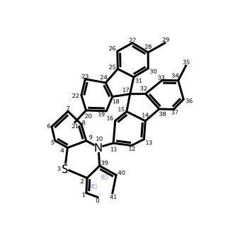 C/C=C1/Sc2ccccc2N(c2ccc3c(c2)C2(c4cc(C)ccc4-c4ccc(C)cc42)c2cc(C)ccc2-3)/C1=C/C